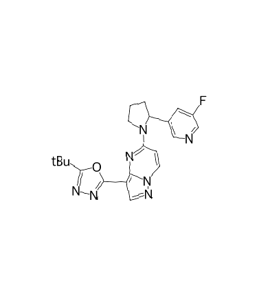 CC(C)(C)c1nnc(-c2cnn3ccc(N4CCCC4c4cncc(F)c4)nc23)o1